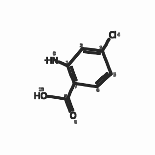 [NH]c1cc(Cl)ccc1C(=O)O